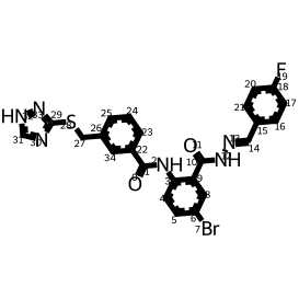 O=C(Nc1ccc(Br)cc1C(=O)NN=Cc1ccc(F)cc1)c1cccc(CSc2nc[nH]n2)c1